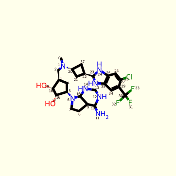 CN(C[C@H]1C[C@@H](N2CCC3C(N)NCNC32)[C@H](O)[C@@H]1O)[C@H]1C[C@H](C2Nc3cc(Cl)c(C(F)(F)F)cc3N2)C1